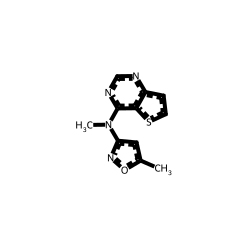 Cc1cc(N(C)c2ncnc3ccsc23)no1